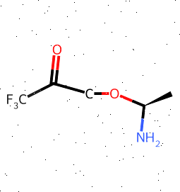 C[C@@H](N)OCC(=O)C(F)(F)F